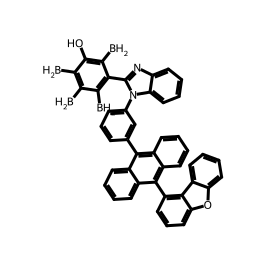 Bc1c(B)c(O)c(B)c(-c2nc3ccccc3n2-c2cccc(-c3c4ccccc4c(-c4cccc5oc6ccccc6c45)c4ccccc34)c2)c1B